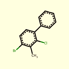 Cc1c(Br)ccc(-c2ccccc2)c1Cl